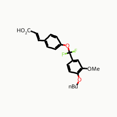 CCCCOc1ccc(C(F)(F)Oc2ccc(/C=C/C(=O)O)cc2)cc1OC